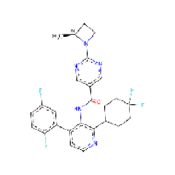 C[C@H]1CCN1c1ncc(C(=O)Nc2c(-c3cc(F)ccc3F)ccnc2C2CCC(F)(F)CC2)cn1